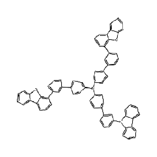 c1cc(-c2ccc(N(c3ccc(-c4cccc(-c5cccc6c5oc5ccccc56)c4)cc3)c3ccc(-c4cccc(-n5c6ccccc6c6ccccc65)c4)cc3)cc2)cc(-c2cccc3c2oc2ccccc23)c1